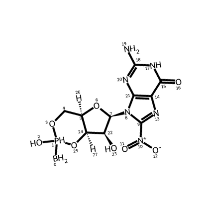 B[PH]1(O)OC[C@H]2O[C@@H](n3c([N+](=O)[O-])nc4c(=O)[nH]c(N)nc43)[C@@H](O)[C@H]2O1